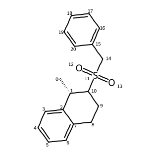 C[C@H]1c2ccccc2CCC1S(=O)(=O)Cc1ccccc1